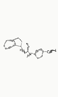 N#Cc1ccc(NC(=S)NC2CCc3ccccc32)cc1